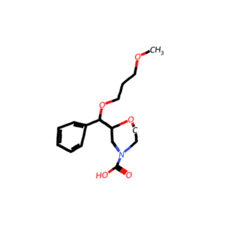 COCCCOC(c1ccccc1)C1CN(C(=O)O)CCO1